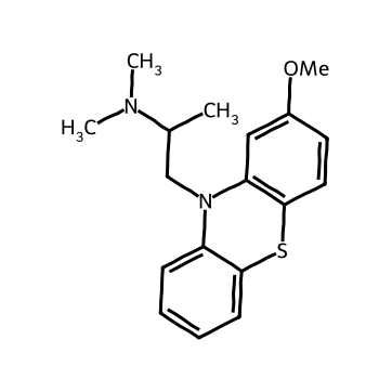 COc1ccc2c(c1)N(CC(C)N(C)C)c1ccccc1S2